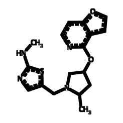 CNc1ncc(CN2CC(Oc3nccc4occc34)CC2C)s1